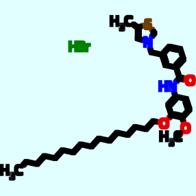 Br.CCCCCCCCCCCCCCCCOc1cc(NC(=O)c2cccc(CN3C=C(C)SC3)c2)ccc1OC